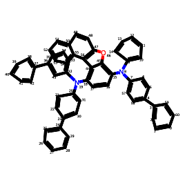 c1ccc(-c2ccc(N(c3ccccc3)c3ccc(N(c4ccc(-c5ccccc5)cc4)c4cccc(-c5ccccc5)c4)c4c3oc3ccc5ccccc5c34)cc2)cc1